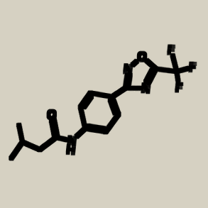 CC(C)CC(=O)Nc1ccc(-c2noc(C(F)(F)F)n2)cc1